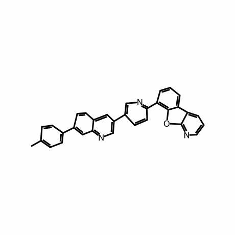 Cc1ccc(-c2ccc3cc(-c4ccc(-c5cccc6c5oc5ncccc56)nc4)cnc3c2)cc1